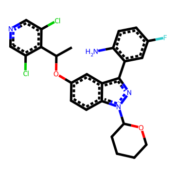 CC(Oc1ccc2c(c1)c(-c1cc(F)ccc1N)nn2C1CCCCO1)c1c(Cl)cncc1Cl